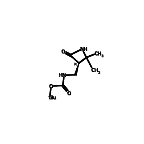 CC(C)(C)OC(=O)NC[C@H]1C(=O)NC1(C)C